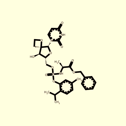 Cc1ccc(C(C)C)c(OP(=O)(N[C@@H](C)C(=O)OCc2ccccc2)OC[C@H]2O[C@@H](n3ccc(=O)[nH]c3=O)[C@@]3(CCO3)[C@@H]2O)c1